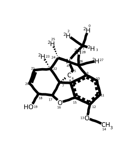 [2H]C([2H])([2H])N1CC[C@]23c4c5ccc(OC)c4OC2C(O)C=C[C@@]3([2H])[C@@]1([2H])C5([2H])[2H]